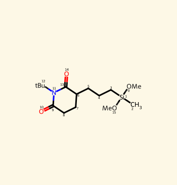 CO[Si](C)(CCCC1CCC(=O)N(C(C)(C)C)C1=O)OC